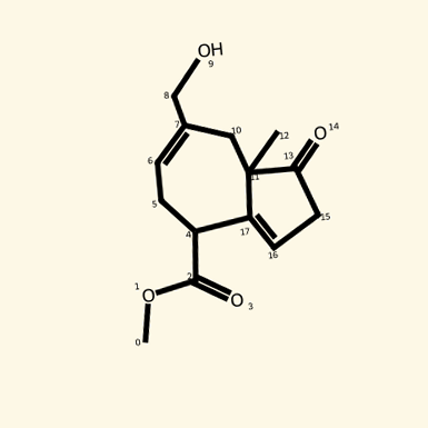 COC(=O)C1CC=C(CO)CC2(C)C(=O)CC=C12